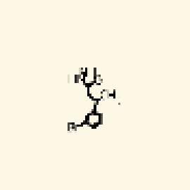 CC(CC(=O)NN)c1cccc(Br)c1